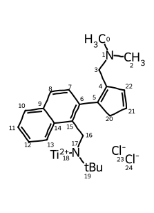 CN(C)CC1=C(c2ccc3ccccc3c2C[N]([Ti+2])C(C)(C)C)CC=C1.[Cl-].[Cl-]